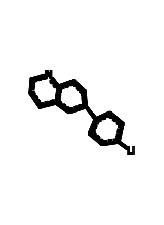 [Li][c]1ccc(-c2ccc3ncccc3c2)cc1